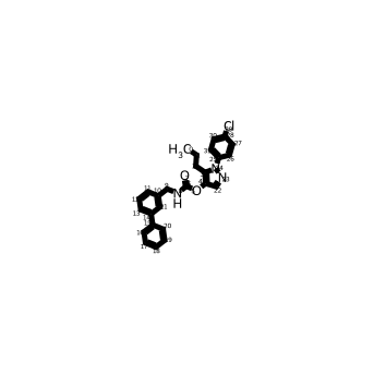 CCCc1c(OC(=O)NCc2cccc(-c3ccccc3)c2)cnn1-c1ccc(Cl)cc1